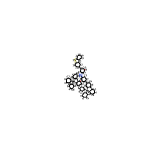 c1ccc(C2(c3ccccc3)c3ccccc3-c3ccc(-c4ccc(N(c5cccc(-c6ccc7sc8ccccc8c7c6)c5)c5cccc6c5-c5ccccc5C6(c5ccccc5)c5ccccc5)cc4)cc32)cc1